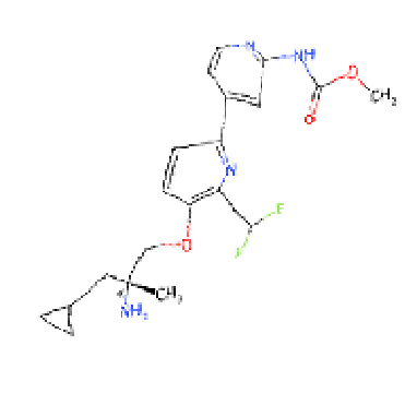 COC(=O)Nc1cc(-c2ccc(OC[C@](C)(N)CC3CC3)c(C(F)F)n2)ccn1